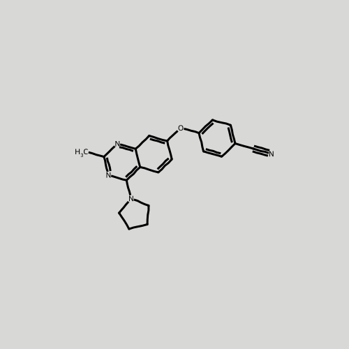 Cc1nc(N2CCCC2)c2ccc(Oc3ccc(C#N)cc3)cc2n1